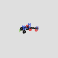 CN(C)C(=O)/C=C/CC[CH]C(=O)Nc1cccn(Cc2nc3ccc(F)cc3n2Cc2ccccc2)c1=O